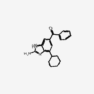 Nc1nc2c(C3CCCCC3)cc(C(=O)c3ccccc3)cc2[nH]1